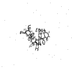 CCNCc1cccc(F)c1C(=O)Nc1n[nH]c2c1CN(S(=O)(=O)c1cc(F)cc(F)c1)CC2(C)C